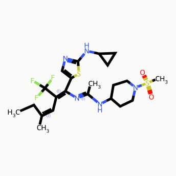 CC\C(C)=C/C(=C(\N=C(/C)NC1CCN(S(C)(=O)=O)CC1)c1cnc(NC2CC2)s1)C(F)(F)F